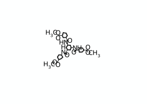 COC(=O)c1ccc(NC(=O)c2cc(NC(=O)c3ccc(C(=O)OC)cc3)cc(NC(=O)c3cccc(C(=O)OC)c3)c2)cc1